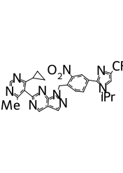 COc1ncnc(C2CC2)c1-c1ncc2cnn(Cc3ccc(-c4nc(C(F)(F)F)cn4C(C)C)cc3[N+](=O)[O-])c2n1